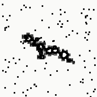 Cl.NC1CCCN(C2COc3cc(-n4ccc(NC(=O)N5CCNCC5)nc4=O)ccc3C2)CC1